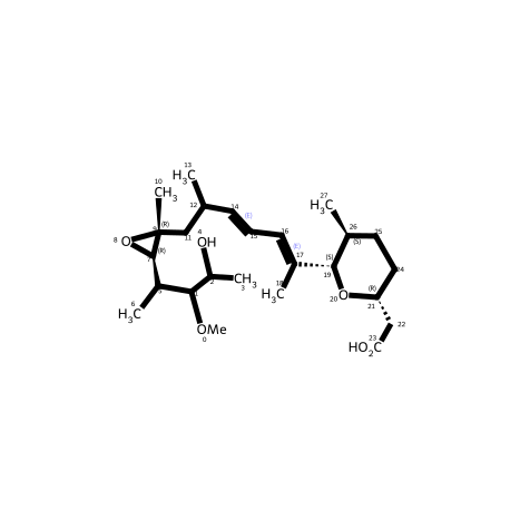 COC(C(C)O)C(C)[C@H]1O[C@]1(C)CC(C)/C=C/C=C(\C)[C@H]1O[C@@H](CC(=O)O)CC[C@@H]1C